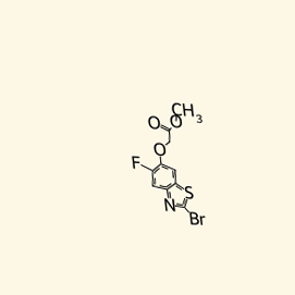 COC(=O)COc1cc2sc(Br)nc2cc1F